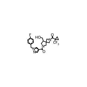 O=C(c1cnn(Cc2ccc(F)cc2)c1)N1CC(CO)C2(C1)CN(C(=O)C1(C(F)(F)F)CC1)C2